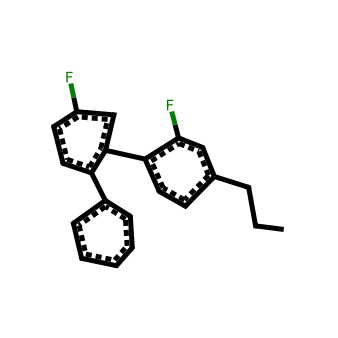 CCCc1ccc(-c2cc(F)ccc2-c2ccccc2)c(F)c1